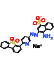 Nc1c(N=Nc2ccc(-c3cccc4c3S(=O)(=O)c3ccccc3-4)nc2)cc(S(=O)(=O)[O-])c2ccccc12.[Na+]